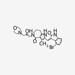 Cc1c(C=C2C(=O)Nc3cccc(Br)c32)[nH]c2c1C(=O)N(C[C@@H](O)CN1CCOCC1)CCC2